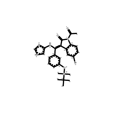 CC(=O)N1C(=O)/C(=C(\Nc2c[nH]cn2)c2cccc(O[Si](C)(C)C(C)(C)C)c2)c2cc(Br)ccc21